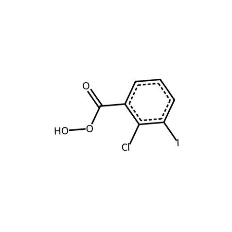 O=C(OO)c1cccc(I)c1Cl